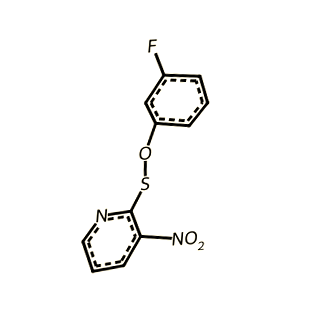 O=[N+]([O-])c1cccnc1SOc1cccc(F)c1